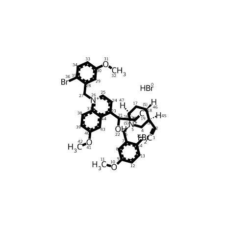 Br.C=C[C@H]1C[N@+]2(Cc3cc(OC)ccc3Br)CC[C@H]1C[C@@H]2C(O)c1cc[n+](Cc2cc(OC)ccc2Br)c2ccc(OC)cc12